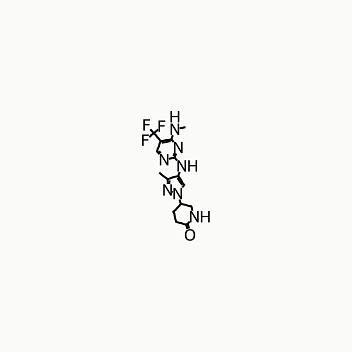 CNc1nc(Nc2cn(C3CCC(=O)NC3)nc2C)ncc1C(F)(F)F